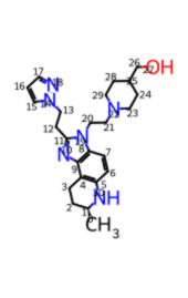 C[C@H]1CCc2c(ccc3c2nc(CCn2cccn2)n3CCN2CCC(CO)CC2)N1